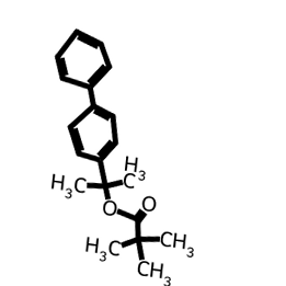 CC(C)(C)C(=O)OC(C)(C)c1ccc(-c2ccccc2)cc1